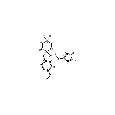 COc1ccc(CC2(CCCn3ccnc3)OCC(C)(C)CO2)cc1